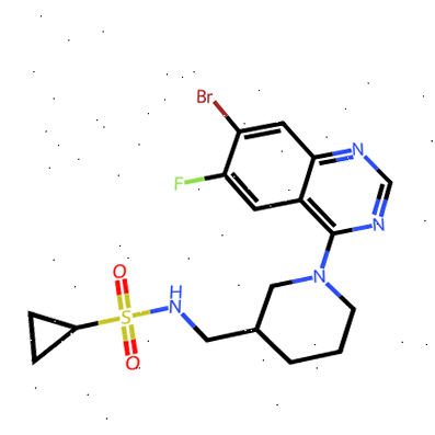 O=S(=O)(NCC1CCCN(c2ncnc3cc(Br)c(F)cc23)C1)C1CC1